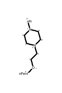 CCCCCOCCN1CCN(CCC)CC1